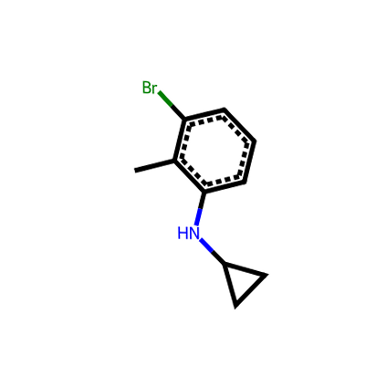 Cc1c(Br)cccc1NC1CC1